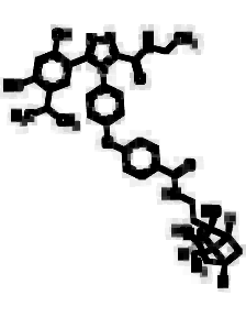 CCNC(=O)c1nnc(-c2cc(C(C)C)c(O)cc2O)n1-c1ccc(Oc2ccc(C(=O)NCC[C@@]3(O)[C@H](O)C[C@H]4C[C@@H]3C4(C)C)cc2)cc1